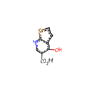 O=C(O)c1cnc2sccc2c1O